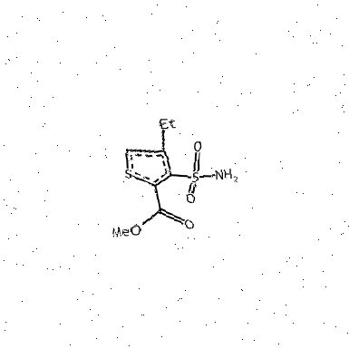 CCc1csc(C(=O)OC)c1S(N)(=O)=O